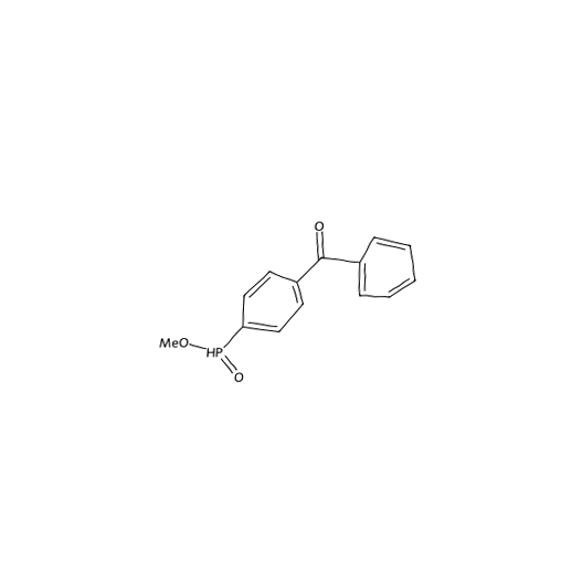 CO[PH](=O)c1ccc(C(=O)c2ccccc2)cc1